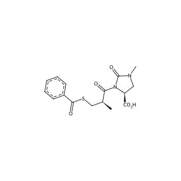 C[C@@H](CSC(=O)c1ccccc1)C(=O)N1C(=O)N(C)C[C@H]1C(=O)O